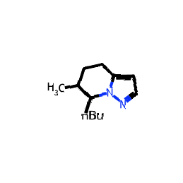 CCCCC1C(C)CCc2ccnn21